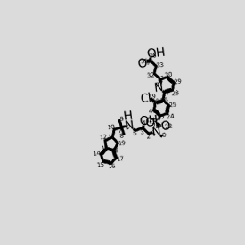 CN(CC(O)CNC(C)(C)CC1Cc2ccccc2C1)S(=O)(=O)c1ccc(-c2cccc(CCC(=O)O)n2)c(Cl)c1